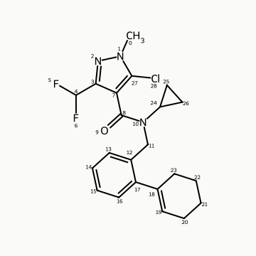 Cn1nc(C(F)F)c(C(=O)N(Cc2ccccc2C2=CCCCC2)C2CC2)c1Cl